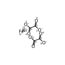 O=C([O-])C(=O)[O-].O=C([O-])C(=O)[O-].[Fe+3].[K+]